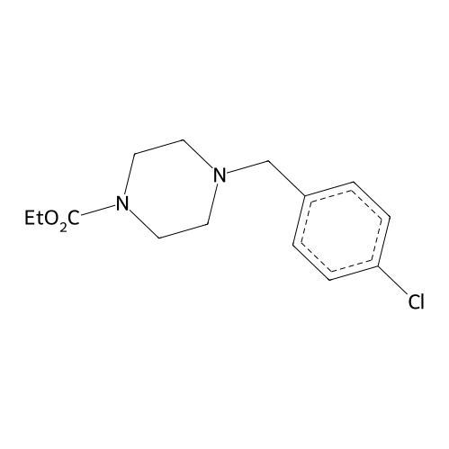 CCOC(=O)N1CCN(Cc2ccc(Cl)cc2)CC1